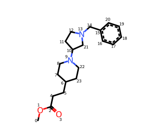 COC(=O)CCC1CCN(C2CCN(Cc3ccccc3)C2)CC1